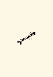 CC(C)(C)OC(=O)NCCSSCCO[N+](=O)[O-]